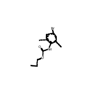 CCCOC(=O)Nc1c(C)cc(Br)cc1C